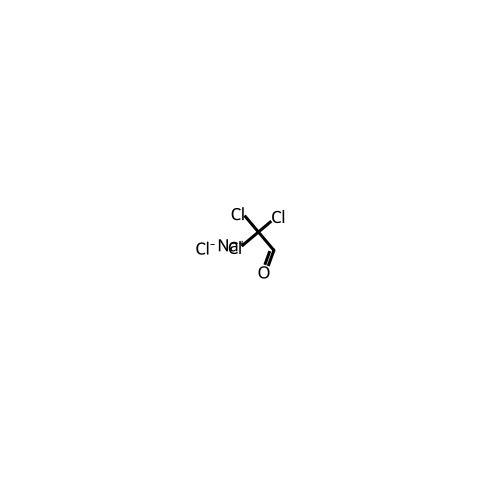 O=CC(Cl)(Cl)Cl.[Cl-].[Na+]